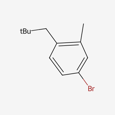 Cc1cc(Br)ccc1CC(C)(C)C